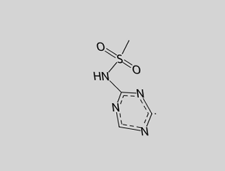 CS(=O)(=O)Nc1n[c]ncn1